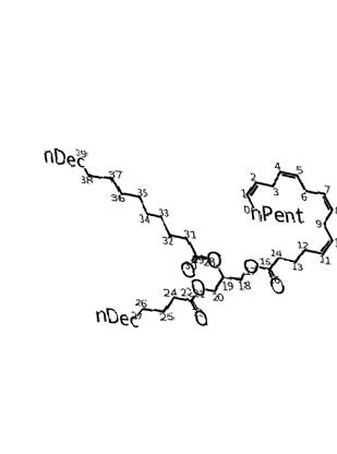 CCCCC/C=C\C/C=C\C/C=C\C/C=C\CCCC(=O)OC[C@@H](COC(=O)CCCCCCCCCCCCC)OC(=O)CCCCCCCCCCCCCCCCCC